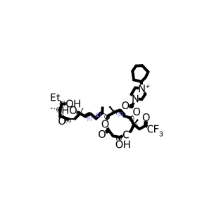 CC[C@H](O)[C@@H](C)[C@H]1O[C@@H]1C[C@@](C)(O)/C=C/C=C(\C)[C@H]1OC(=O)C[C@H](O)CC[C@@](C)(CC(=O)C(F)(F)F)[C@@H](OC(=O)N2CC[N+](C)(C3CCCCCC3)CC2)/C=C/[C@@H]1C